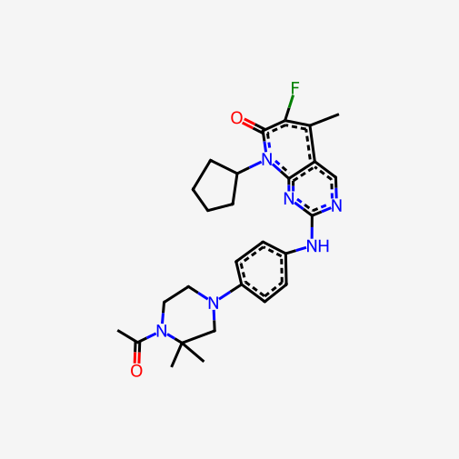 CC(=O)N1CCN(c2ccc(Nc3ncc4c(C)c(F)c(=O)n(C5CCCC5)c4n3)cc2)CC1(C)C